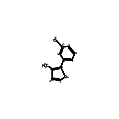 Cc1ncoc1-c1cccc(Cl)c1